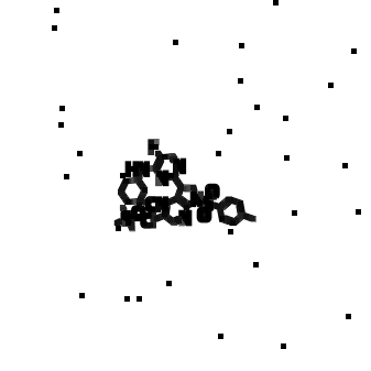 Cc1ccc(S(=O)(=O)n2cc(-c3ncc(F)c(NC4CCCC(C#N)(O[Si](C)(C)C)C4)n3)c3cc(Cl)cnc32)cc1